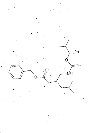 CC(C)CC(CNC(=O)OC(Cl)C(C)C)CC(=O)OCc1ccccc1